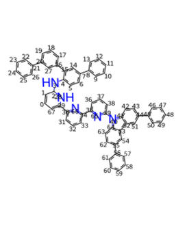 C1=CC(Nc2ccc(-c3ccccc3)cc2-c2cccc(-c3ccccc3)c2)NC(c2cccc(-c3cccc(-n4c5ccc(-c6ccccc6)cc5c5cc(-c6ccccc6)ccc54)n3)n2)=C1